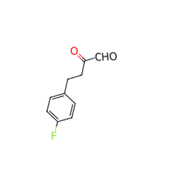 O=CC(=O)CCc1ccc(F)cc1